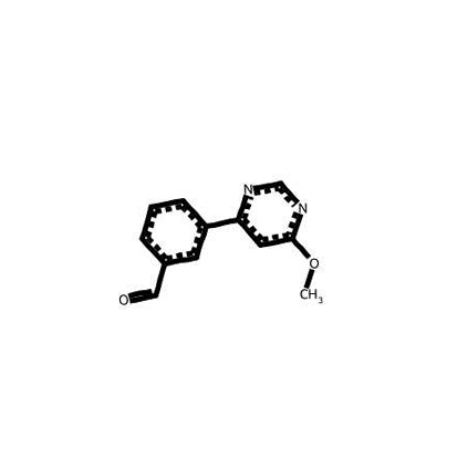 COc1cc(-c2cccc(C=O)c2)ncn1